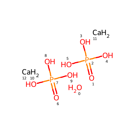 O.O=P(O)(O)O.O=P(O)(O)O.[CaH2].[CaH2]